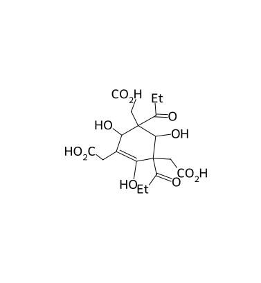 CCC(=O)C1(CC(=O)O)C(O)=C(CC(=O)O)C(O)C(CC(=O)O)(C(=O)CC)C1O